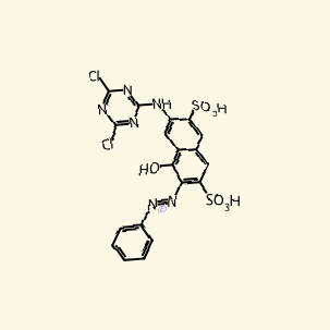 O=S(=O)(O)c1cc2cc(S(=O)(=O)O)c(/N=N/c3ccccc3)c(O)c2cc1Nc1nc(Cl)nc(Cl)n1